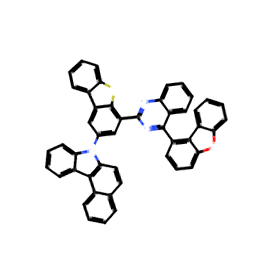 c1ccc2c(c1)ccc1c2c2ccccc2n1-c1cc(-c2nc(-c3cccc4oc5ccccc5c34)c3ccccc3n2)c2sc3ccccc3c2c1